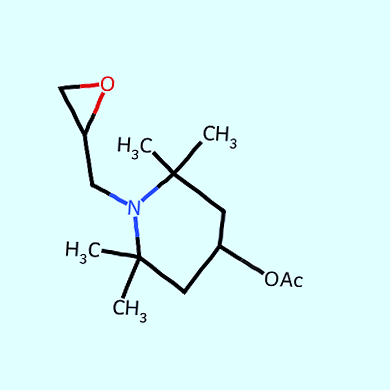 CC(=O)OC1CC(C)(C)N(CC2CO2)C(C)(C)C1